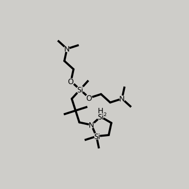 CN(C)CCO[Si](C)(CC(C)(C)CN1[SiH2]CC[Si]1(C)C)OCCN(C)C